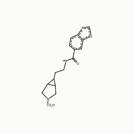 O=C(NCCC1C2CN(C(=O)O)CC12)c1ccc2ncsc2c1